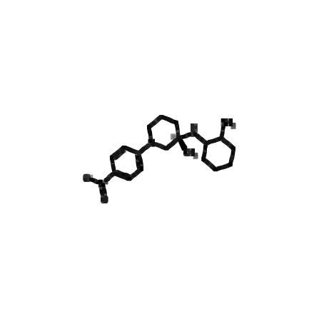 C[C@]1(NC2CCCCC2N)CCCN(c2ccc([N+](=O)[O-])cc2)C1